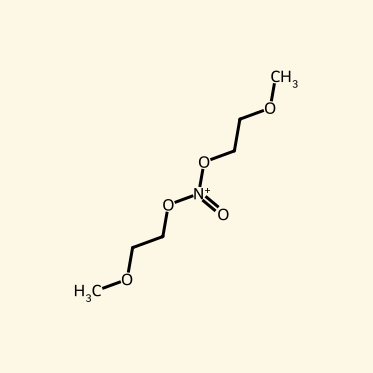 COCCO[N+](=O)OCCOC